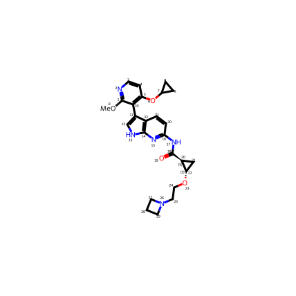 COc1nccc(OC2CC2)c1-c1c[nH]c2nc(NC(=O)[C@H]3C[C@@H]3OCCN3CCC3)ccc12